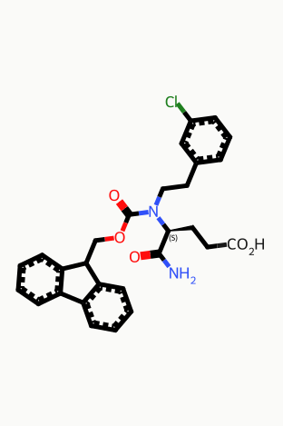 NC(=O)[C@H](CCC(=O)O)N(CCc1cccc(Cl)c1)C(=O)OCC1c2ccccc2-c2ccccc21